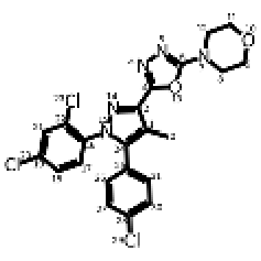 Cc1c(-c2nnc(N3CCOCC3)o2)nn(-c2ccc(Cl)cc2Cl)c1-c1ccc(Cl)cc1